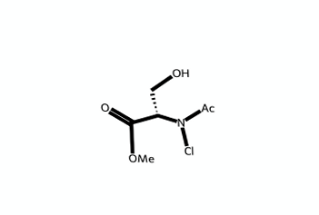 COC(=O)[C@H](CO)N(Cl)C(C)=O